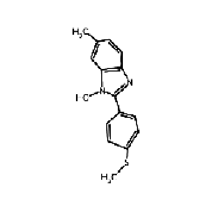 CSc1ccc(-c2nc3ccc(C)cc3n2O)cc1